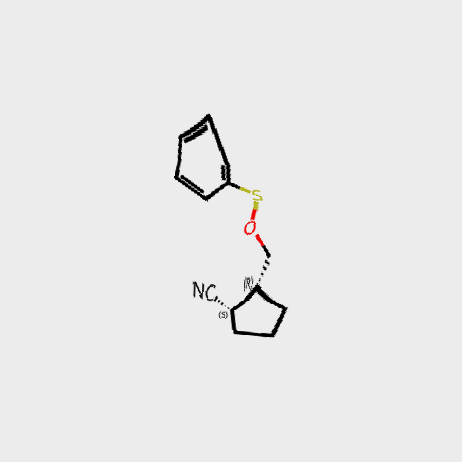 N#C[C@H]1CCC[C@H]1COSc1ccccc1